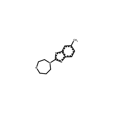 Cc1ccc2nc(N3CCC[N]CC3)sc2c1